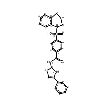 O=C(NC1NC(c2ccccc2)=CS1)c1ccc(S(=O)(=O)N2CCCc3ccccc32)cc1